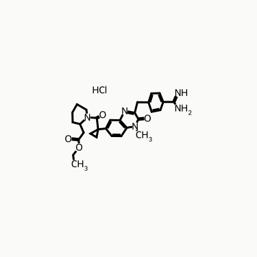 CCOC(=O)CC1CCCCN1C(=O)C1(c2ccc3c(c2)nc(Cc2ccc(C(=N)N)cc2)c(=O)n3C)CC1.Cl